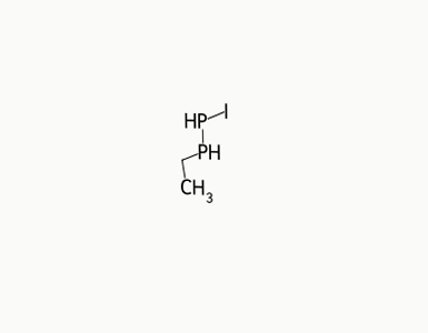 CCPPI